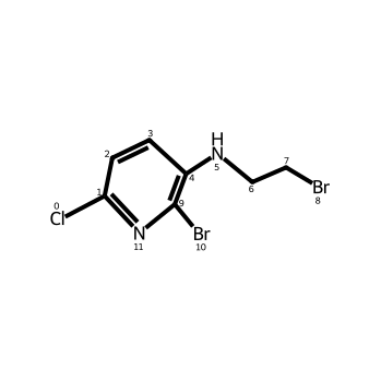 Clc1ccc(NCCBr)c(Br)n1